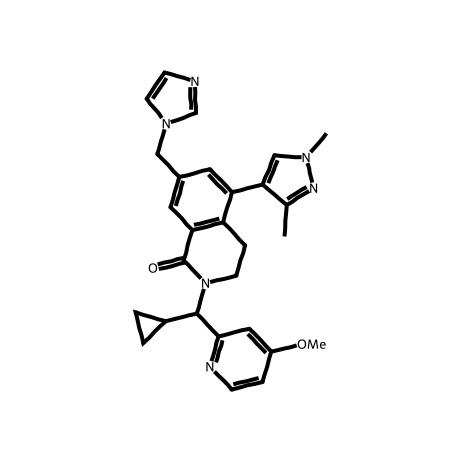 COc1ccnc(C(C2CC2)N2CCc3c(cc(Cn4ccnc4)cc3-c3cn(C)nc3C)C2=O)c1